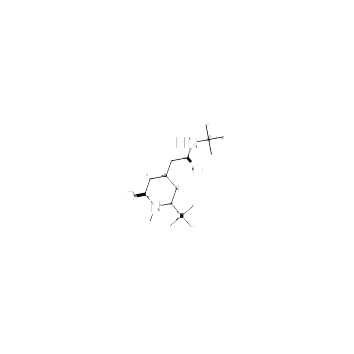 CN1C(=O)CC(CC(=O)NC(C)(C)C)CC1C(C)(C)C